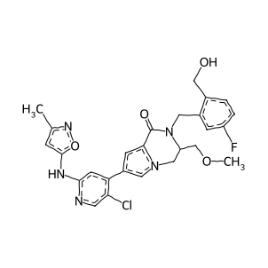 COCC1Cn2cc(-c3cc(Nc4cc(C)no4)ncc3Cl)cc2C(=O)N1Cc1cc(F)ccc1CO